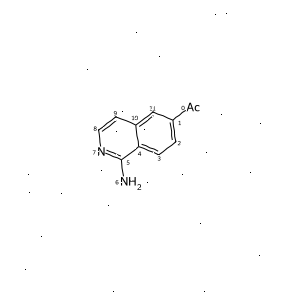 CC(=O)c1ccc2c(N)nccc2c1